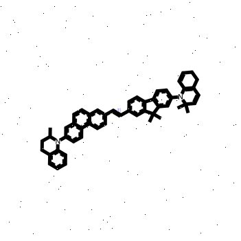 CC1CCc2ccccc2N1c1ccc2c(ccc3cc(/C=C/c4ccc5c(c4)C(C)(C)c4cc(N6C7=C(C=CC6(C)C)CCC=C7)ccc4-5)ccc32)c1